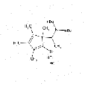 CCCCN(CCCC)C(C)C1(C)C(C)=C(C)C(C)=[C]1[Ti].Cl.Cl